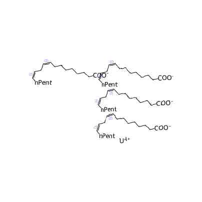 CCCCC/C=C\C/C=C\CCCCCCCC(=O)[O-].CCCCC/C=C\C/C=C\CCCCCCCC(=O)[O-].CCCCC/C=C\C/C=C\CCCCCCCC(=O)[O-].CCCCC/C=C\C/C=C\CCCCCCCC(=O)[O-].[U+4]